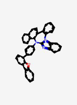 c1ccc2c(c1)-c1ccc3ccccc3c1N(c1ccc(-c3cccc4c3oc3ccccc34)cc1)c1nc3ccccc3n1-2